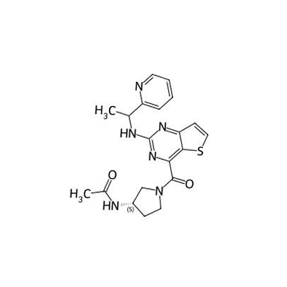 CC(=O)N[C@H]1CCN(C(=O)c2nc(NC(C)c3ccccn3)nc3ccsc23)C1